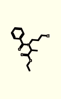 CCOC(=O)C(C)N(CCCCl)C(=O)c1ccccc1